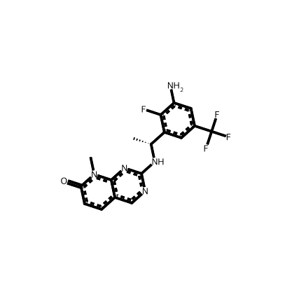 C[C@@H](Nc1ncc2ccc(=O)n(C)c2n1)c1cc(C(F)(F)F)cc(N)c1F